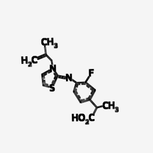 C=C(C)Cn1ccs/c1=N\c1ccc(C(C)C(=O)O)cc1F